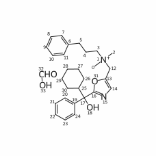 C[N+](C)(CCCc1ccccc1)Cc1cnc(C(O)(c2ccccc2)C2CCCCC2)o1.O=CO